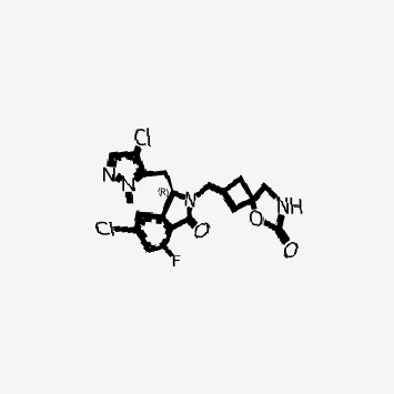 Cn1ncc(Cl)c1C[C@@H]1c2cc(Cl)cc(F)c2C(=O)N1CC1CC2(CNC(=O)O2)C1